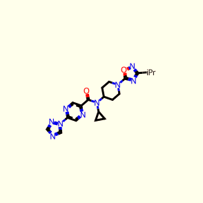 CC(C)c1noc(N2CCC(N(C(=O)c3cnc(-n4cncn4)cn3)C3CC3)CC2)n1